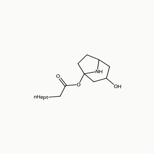 CCCCCCCCC(=O)OC12CCC(CC(O)C1)N2